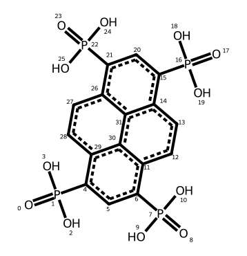 O=P(O)(O)c1cc(P(=O)(O)O)c2ccc3c(P(=O)(O)O)cc(P(=O)(O)O)c4ccc1c2c43